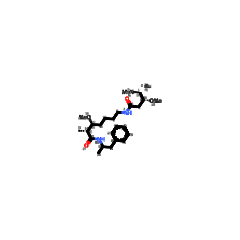 CC[C@H](C)[C@H](NC)[C@@H](CC(=O)NCCCC[C@H](OC)[C@@H](C)C(=O)NC(C)Cc1ccccc1)OC